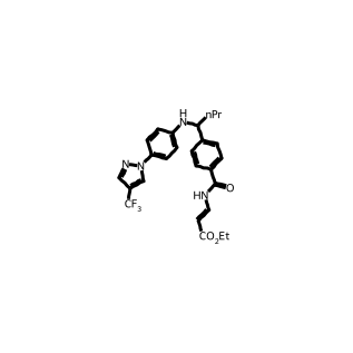 CCCC(Nc1ccc(-n2cc(C(F)(F)F)cn2)cc1)c1ccc(C(=O)NC=CC(=O)OCC)cc1